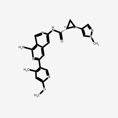 COc1cc(C)c(-c2cc3cc(NC(=O)[C@@H]4C[C@H]4c4cnn(C)c4)ncc3c(N)n2)cn1